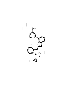 CC(C)[C@H]1C[C@@H]1S(=O)(=O)NC(c1cc2cccc(-c3cc([C@](C)(O)C(F)(F)F)ccn3)c2s1)c1ccccc1Cl